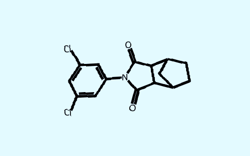 O=C1C2C3CCC(C3)C2C(=O)N1c1cc(Cl)cc(Cl)c1